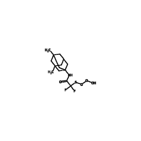 CC12CC3CC(C)(C1)CC(NC(=O)C(F)(F)SOOO)(C3)C2